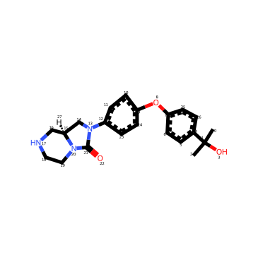 CC(C)(O)c1ccc(Oc2ccc(N3C[C@@H]4CNCCN4C3=O)cc2)cc1